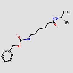 CC(C)[C@H](NC(=O)CCCCCNC(=O)OCc1ccccc1)C(=O)O